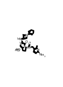 Cc1nc(N)ccc1CNC(=O)[C@@H]1CCc2cnc(NC3CN(c4ccccc4)C3)c(=O)n21.Cl.Cl